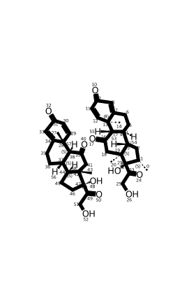 C[C@H]1C[C@H]2[C@@H]3CCC4=CC(=O)C=C[C@]4(C)[C@H]3C(=O)C[C@]2(C)[C@@]1(O)C(=O)CO.C[C@]12C=CC(=O)C=C1CC[C@@H]1[C@@H]2C(=O)C[C@@]2(C)[C@H]1CC[C@]2(O)C(=O)CO